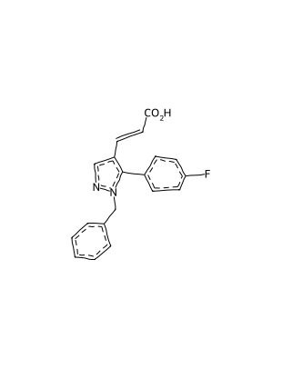 O=C(O)C=Cc1cnn(Cc2ccccc2)c1-c1ccc(F)cc1